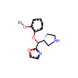 CCOc1ccccc1O[C@H](c1ncco1)[C@@H]1CCNC1